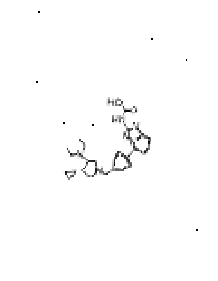 C1CC1.CCN(CC)C1CCN(Cc2ccc(-c3cccc4nc(NC(=O)O)nn34)cc2)C1